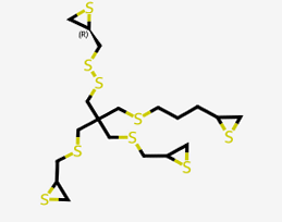 C(CSCC(CSCC1CS1)(CSCC1CS1)CSSC[C@H]1CS1)CC1CS1